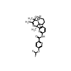 CC1(C)C(N)=N[C@](C)(c2nc(NC(=O)c3ccc(OC(F)F)cn3)ccc2F)[C@H]2CCCNS21O